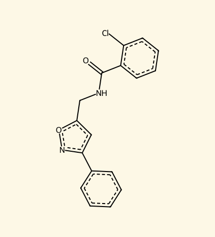 O=C(NCc1cc(-c2ccccc2)no1)c1ccccc1Cl